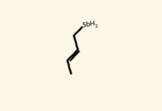 CC=C[CH2][SbH2]